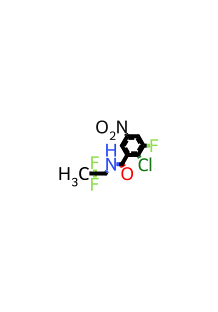 CC(F)(F)CNC(=O)c1cc([N+](=O)[O-])cc(F)c1Cl